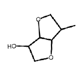 CC1COC2C(O)COC12